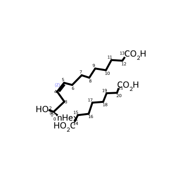 CCCCCC[C@@H](O)C/C=C\CCCCCCCC(=O)O.O=C(O)CCCCCCC(=O)O